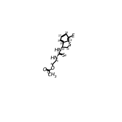 CC(=O)OCCNC(=S)NC1CSc2c(F)cccc21